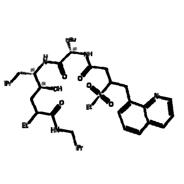 CCCC[C@H](NC(=O)CC(Cc1cccc2cccnc12)S(=O)(=O)CC)C(=O)N[C@@H](CC(C)C)[C@@H](O)CC(CC)C(=O)NCC(C)C